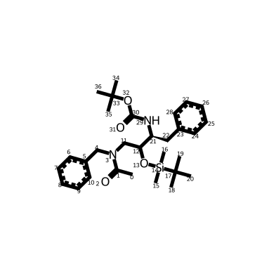 CC(=O)N(Cc1ccccc1)CC(O[Si](C)(C)C(C)(C)C)[C@H](Cc1ccccc1)NC(=O)OC(C)(C)C